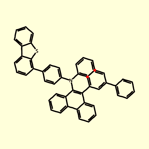 c1ccc(-c2cccc(-c3c(N(c4ccccc4)c4ccc(-c5cccc6c5sc5ccccc56)cc4)c4ccccc4c4ccccc34)c2)cc1